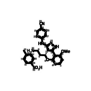 COc1ccnc(OCCCN)c1-c1cc(Nc2cnc(C#N)cn2)n[nH]1.Cc1ccc(S(=O)(=O)O)cc1